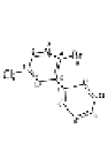 Clc1cnc(Br)c(-c2ccccc2)c1